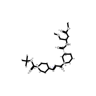 COCC(CC(=O)OC)NC(=O)[C@@H]1CCCN(C(=O)/C=C/C2CCN(C(=O)OC(C)(C)C)CC2)C1